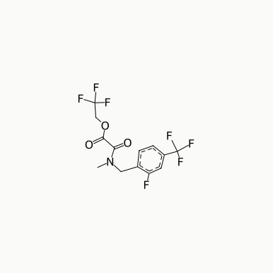 CN(Cc1ccc(C(F)(F)F)cc1F)C(=O)C(=O)OCC(F)(F)F